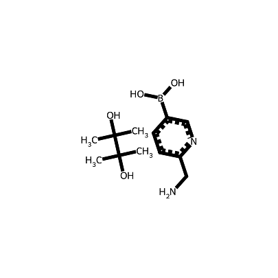 CC(C)(O)C(C)(C)O.NCc1ccc(B(O)O)cn1